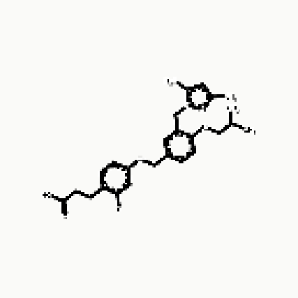 Cc1cc(C)n(Cc2cc(COc3ccc(CCC(=O)O)c(F)c3)ccc2OCC(C)C)n1